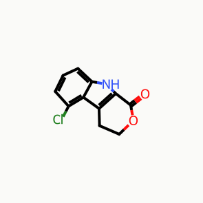 O=C1OCCc2c1[nH]c1cccc(Cl)c21